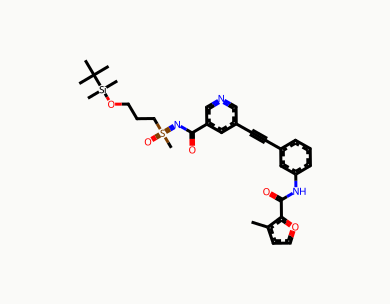 Cc1ccoc1C(=O)Nc1cccc(C#Cc2cncc(C(=O)N=S(C)(=O)CCCO[Si](C)(C)C(C)(C)C)c2)c1